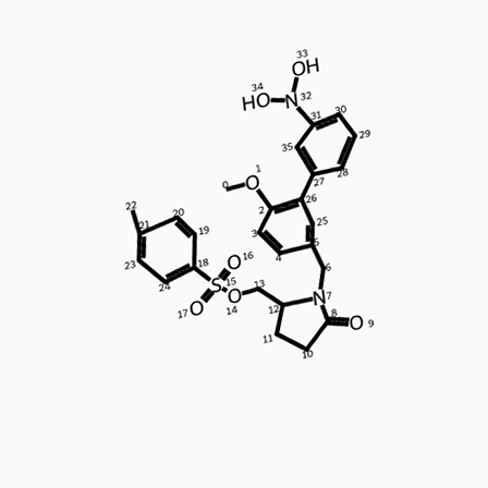 COc1ccc(CN2C(=O)CCC2COS(=O)(=O)c2ccc(C)cc2)cc1-c1cccc(N(O)O)c1